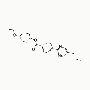 CCCc1cnc(-c2ccc(C(=O)OC3CCC(OCC)CC3)cc2)nc1